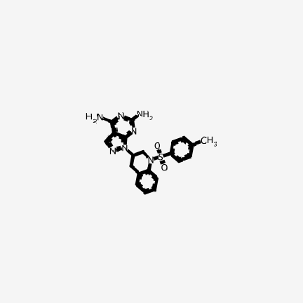 Cc1ccc(S(=O)(=O)N2CC(n3ncc4c(N)nc(N)nc43)Cc3ccccc32)cc1